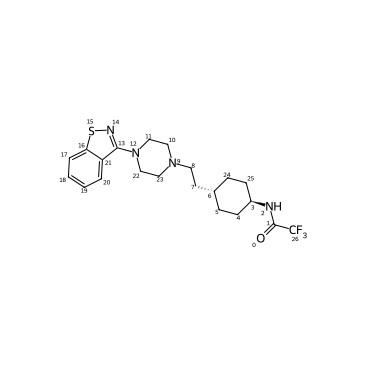 O=C(N[C@H]1CC[C@H](CCN2CCN(c3nsc4ccccc34)CC2)CC1)C(F)(F)F